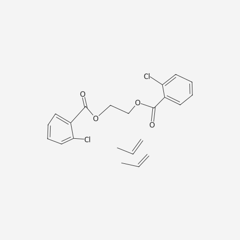 C=CC.C=CC.O=C(OCCOC(=O)c1ccccc1Cl)c1ccccc1Cl